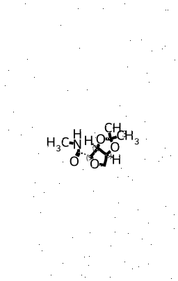 CNC(=O)[C@H]1OC[C@@H]2OC(C)(C)O[C@@H]21